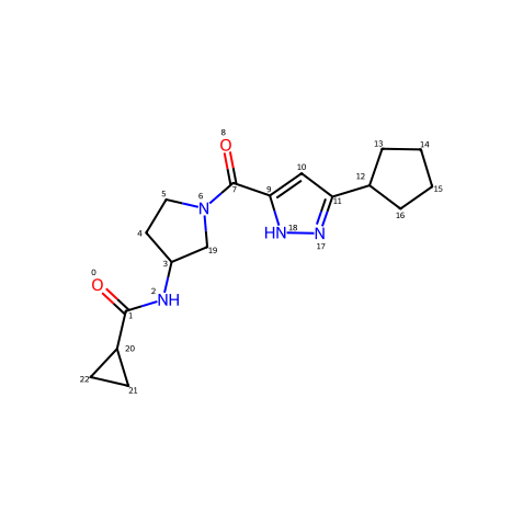 O=C(NC1CCN(C(=O)c2cc(C3CCCC3)n[nH]2)C1)C1CC1